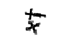 CC#[N+]C(C)(C)C.[Cl][Fe-]([Cl])([Cl])[Cl]